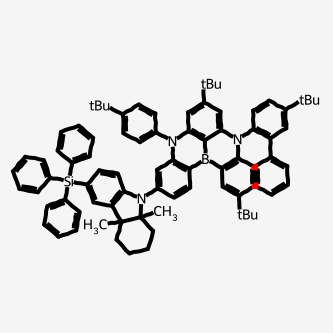 CC(C)(C)c1ccc(N2c3cc(N4c5ccc([Si](c6ccccc6)(c6ccccc6)c6ccccc6)cc5C5(C)CCCCC45C)ccc3B3c4cc(C(C)(C)C)ccc4N(c4ccc(C(C)(C)C)cc4-c4ccccc4)c4cc(C(C)(C)C)cc2c43)cc1